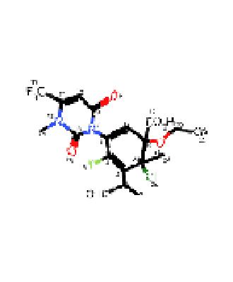 CC(C=O)C1=C(F)C(n2c(=O)cc(C(F)(F)F)n(C)c2=O)=CC(OCC#N)(C(=O)O)C1(C)Cl